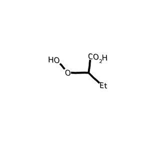 CCC(OO)C(=O)O